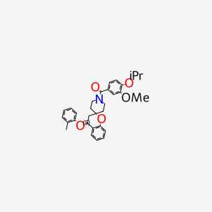 COc1cc(C(=O)N2CCC3(CC2)C[C@H](Oc2ccccc2C)c2ccccc2O3)ccc1OC(C)C